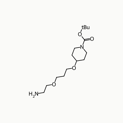 CC(C)(C)OC(=O)N1CCC(OCCCOCCN)CC1